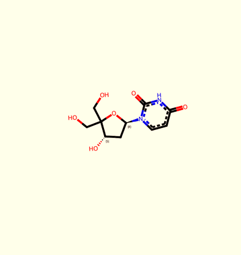 O=c1ccn([C@H]2C[C@H](O)C(CO)(CO)O2)c(=O)[nH]1